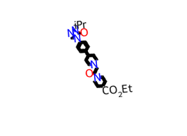 CCOC(=O)C1CCN(C(=O)CN2CCC(c3ccc(-n4cnn(C(C)C)c4=O)cc3)CC2)CC1